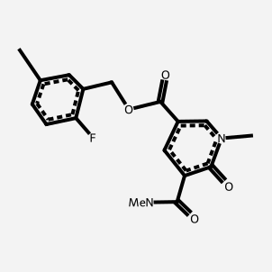 CNC(=O)c1cc(C(=O)OCc2cc(C)ccc2F)cn(C)c1=O